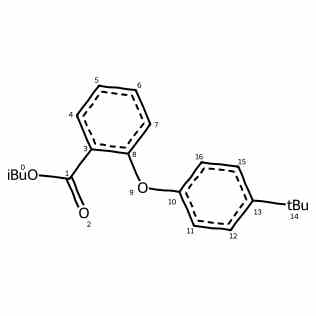 CC(C)COC(=O)c1ccccc1Oc1ccc(C(C)(C)C)cc1